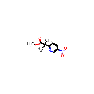 COC(=O)C(C)(C)c1ccc([N+](=O)[O-])cn1